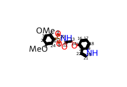 COc1ccc(OC)c(S(=O)(=O)NC(=O)COc2cccc3[nH]ccc23)c1